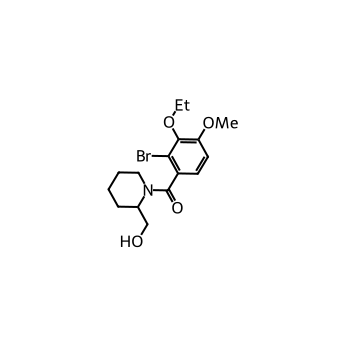 CCOc1c(OC)ccc(C(=O)N2CCCCC2CO)c1Br